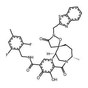 Cc1cc(F)c(CNC(=O)c2cn3c(c(O)c2=O)C(=O)N2C[C@@H]3[C@]3(CC[C@@H]2C)CC(=O)N(Cc2nc4ccccc4s2)O3)c(F)c1